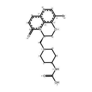 O=C(O)NC1CCN(C[C@@H]2COc3c(Br)cnc4ccc(=O)n2c34)CC1